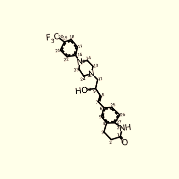 O=C1CCc2cc(C=CC(O)CN3CCN(c4ccc(C(F)(F)F)cc4)CC3)ccc2N1